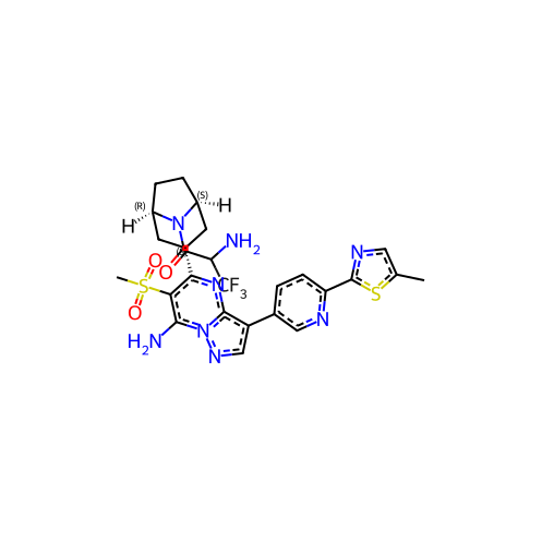 Cc1cnc(-c2ccc(-c3cnn4c(N)c(S(C)(=O)=O)c([C@@H]5C[C@H]6CC[C@@H](C5)N6C(=O)C(N)C(F)(F)F)nc34)cn2)s1